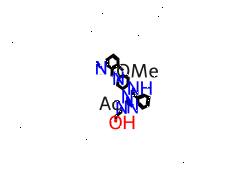 COc1cccc(N(C)C)c1CN1CCC(Nc2nc(N(CCO)C(C)=O)nc3ccccc23)CC1